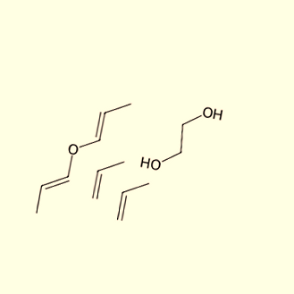 C=CC.C=CC.CC=COC=CC.OCCO